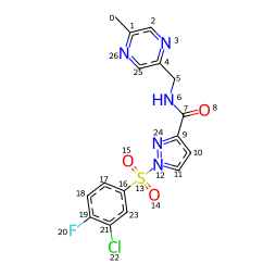 Cc1cnc(CNC(=O)c2ccn(S(=O)(=O)c3ccc(F)c(Cl)c3)n2)cn1